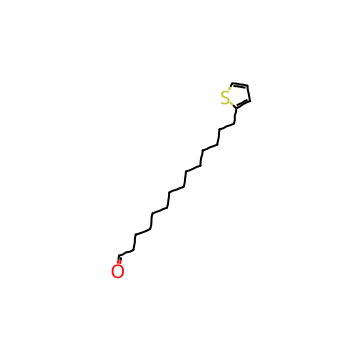 O=CCCCCCCCCCCCCCc1cccs1